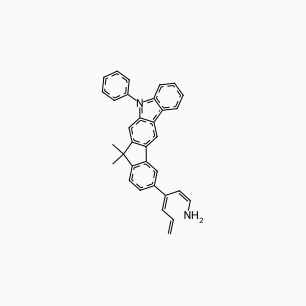 C=C/C=C(\C=C/N)c1ccc2c(c1)-c1cc3c4ccccc4n(-c4ccccc4)c3cc1C2(C)C